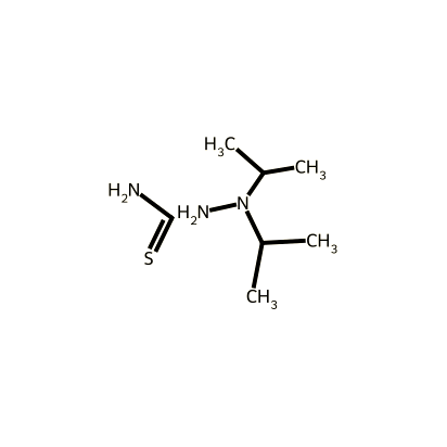 CC(C)N(N)C(C)C.NC=S